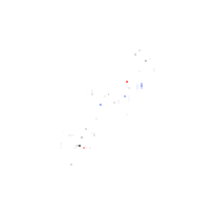 CCOC(=O)c1c(NC(=O)Nc2cccc(C(F)(F)F)c2)cc(Cl)n1-c1ccc(-c2cccc(OC)c2O)cc1